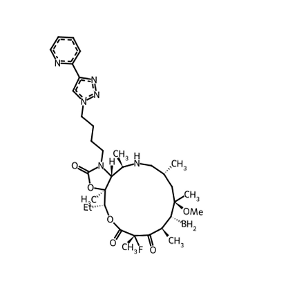 B[C@@H]1[C@@H](C)C(=O)[C@](C)(F)C(=O)O[C@H](CC)[C@@]2(C)OC(=O)N(CCCCn3cc(-c4ccccn4)nn3)[C@@H]2[C@@H](C)NC[C@H](C)C[C@@]1(C)OC